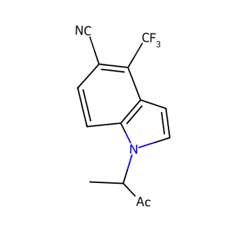 CC(=O)C(C)n1ccc2c(C(F)(F)F)c(C#N)ccc21